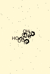 O=C(O)CN(CCN(CC(=O)O)Oc1ccccn1)Oc1ccccn1